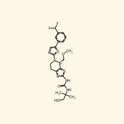 COC[C@H]1c2sc(NC(=O)NC(C)(C)CO)nc2CCN1c1ncc(-c2cccc(C(F)F)c2)o1